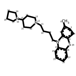 Cc1ccc2c(c1)N(CCCCN1CCC(N3CCCC3)CC1)c1ccccc1S2